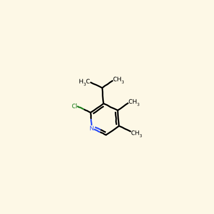 Cc1cnc(Cl)c(C(C)C)c1C